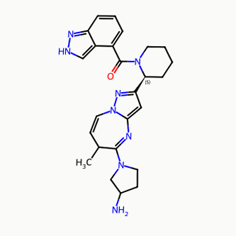 CC1C=Cn2nc([C@@H]3CCCCN3C(=O)c3cccc4n[nH]cc34)cc2N=C1N1CCC(N)C1